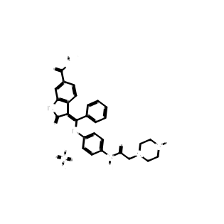 COC(=O)c1ccc2c(c1)NC(=O)/C2=C(\Nc1ccc(N(C)C(=O)CN2CCN(C)CC2)cc1)c1ccccc1.O=S(=O)(O)O